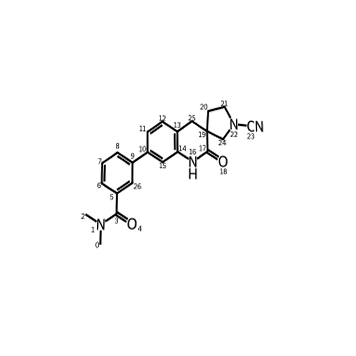 CN(C)C(=O)c1cccc(-c2ccc3c(c2)NC(=O)C2(CCN(C#N)C2)C3)c1